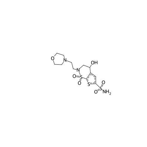 NS(=O)(=O)c1cc2c(s1)S(=O)(=O)N(CCN1CCOCC1)CC2O